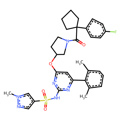 Cc1cccc(C)c1-c1cc(OC2CCN(C(=O)C3(c4ccc(F)cc4)CCCC3)C2)nc(NS(=O)(=O)c2cnn(C)c2)n1